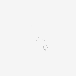 NC(Cc1cnc[nH]1)C(=O)NCCCSO